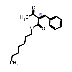 CCCCCCCOC(=O)/C(=C\c1ccccc1)C(C)=O